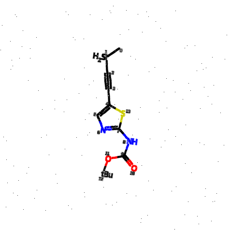 C[SiH2]C#Cc1cnc(NC(=O)OC(C)(C)C)s1